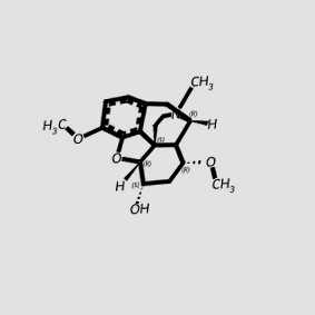 COc1ccc2c3c1O[C@H]1[C@@H](O)C[C@@H](OC)C4[C@@H](C2)N(C)CC[C@@]341